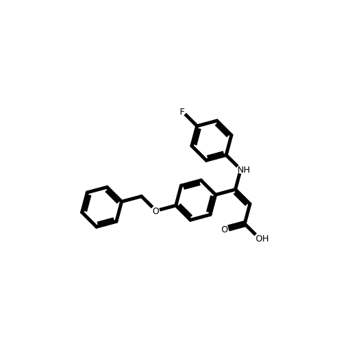 O=C(O)C=C(Nc1ccc(F)cc1)c1ccc(OCc2ccccc2)cc1